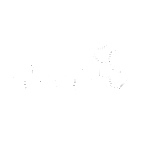 N[C@@H](CCSCC(=O)OCC1c2ccccc2-c2ccccc21)C(=O)O